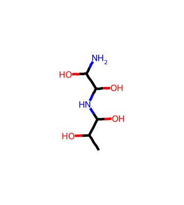 CC(O)C(O)NC(O)C(N)O